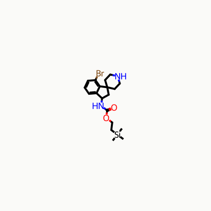 C[Si](C)(C)CCOC(=O)NC1CC2(CCNCC2)c2c(Br)cccc21